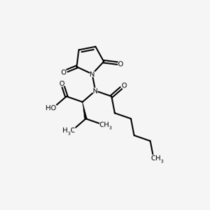 CCCCCC(=O)N([C@H](C(=O)O)C(C)C)N1C(=O)C=CC1=O